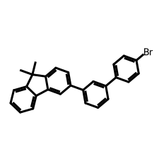 CC1(C)c2ccccc2-c2cc(-c3cccc(-c4ccc(Br)cc4)c3)ccc21